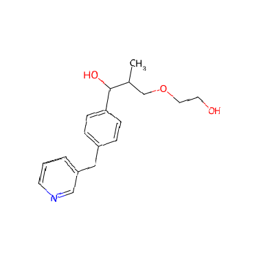 CC(COCCO)C(O)c1ccc(Cc2cccnc2)cc1